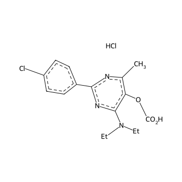 CCN(CC)c1nc(-c2ccc(Cl)cc2)nc(C)c1OC(=O)O.Cl